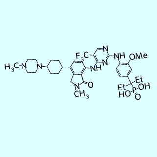 CCC(CC)(c1ccc(Nc2ncc(C(F)(F)F)c(Nc3ccc([C@H]4CC[C@H](N5CCN(C)CC5)CC4)c4c3C(=O)N(C)C4)n2)c(OC)c1)P(=O)(O)O